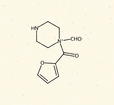 O=[C][N+]1(C(=O)c2ccco2)CCNCC1